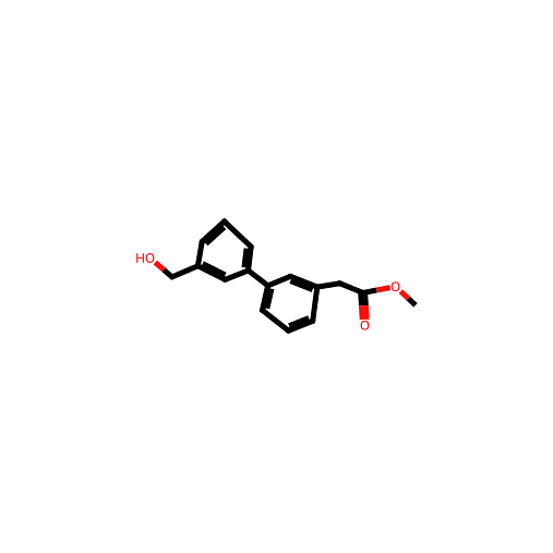 COC(=O)Cc1cccc(-c2cccc(CO)c2)c1